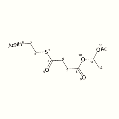 CC(=O)NCCSC(=O)CCC(=O)OC(C)OC(C)=O